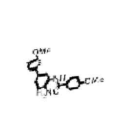 COc1ccc(C(=O)Nc2cc(-c3ccc(OC)s3)ccc2N)cc1